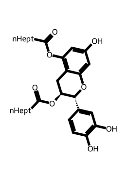 CCCCCCCC(=O)Oc1cc(O)cc2c1C[C@H](OC(=O)CCCCCCC)[C@@H](c1ccc(O)c(O)c1)O2